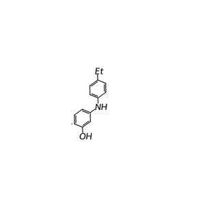 CCc1ccc(Nc2cc[c]c(O)c2)cc1